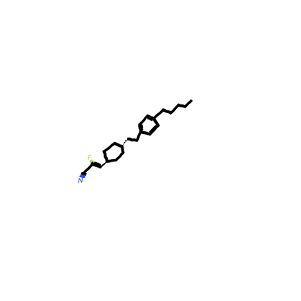 CCCCCc1ccc(CC[C@H]2CC[C@H](C=C(F)C#N)CC2)cc1